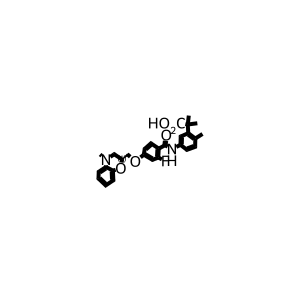 Cc1ccc(NC(=O)c2ccc(OC[C@@H]3CN(C)c4ccccc4O3)cc2F)cc1C(C)(C)C(=O)O